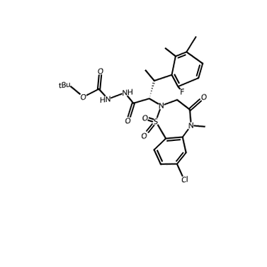 Cc1ccc(F)c(C(C)[C@@H](C(=O)NNC(=O)OC(C)(C)C)N2CC(=O)N(C)c3cc(Cl)ccc3S2(=O)=O)c1C